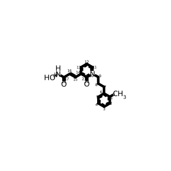 Cc1ccccc1CCCn1cccc(/C=C/C(=O)NO)c1=O